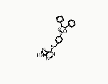 c1ccc(C2OB(c3ccc(CSc4ncnc5[nH]cnc45)cc3)OC2c2ccccc2)cc1